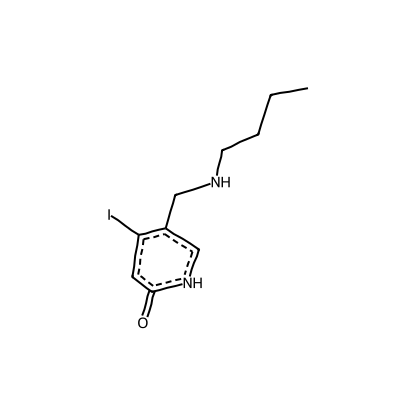 CCCCNCc1c[nH]c(=O)cc1I